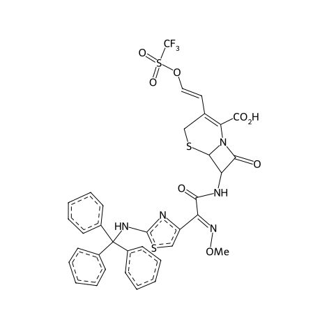 CON=C(C(=O)NC1C(=O)N2C(C(=O)O)=C(C=COS(=O)(=O)C(F)(F)F)CSC12)c1csc(NC(c2ccccc2)(c2ccccc2)c2ccccc2)n1